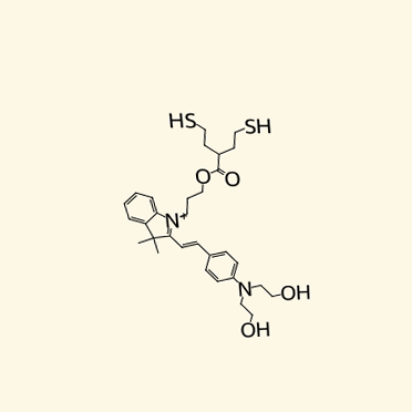 CC1(C)C(/C=C/c2ccc(N(CCO)CCO)cc2)=[N+](CCCOC(=O)C(CCS)CCS)c2ccccc21